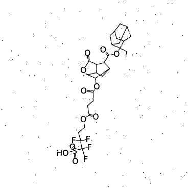 CCC1(OC(=O)C2C3CC4C(OC(=O)C42)C3OC(=O)CCC(=O)OCCC(F)(F)C(F)(F)S(=O)(=O)O)C2CC3CC(C2)CC1C3